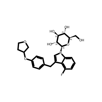 OC[C@H]1O[C@@H](n2cc(Cc3ccc(OC4CCOC4)cc3)c3c(F)cccc32)[C@H](O)[C@@H](O)[C@@H]1O